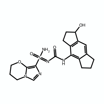 NS(=O)(=NC(=O)Nc1c2c(cc3c1CCC3O)CCC2)c1ncn2c1OCCC2